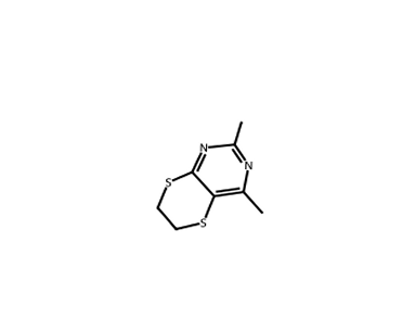 Cc1nc(C)c2c(n1)SCCS2